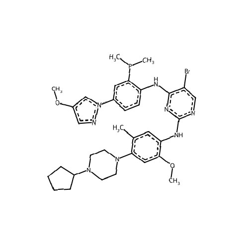 COc1cnn(-c2ccc(Nc3nc(Nc4cc(C)c(N5CCN(C6CCCC6)CC5)cc4OC)ncc3Br)c(P(C)C)c2)c1